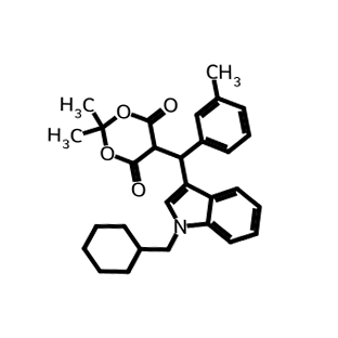 Cc1cccc(C(c2cn(CC3CCCCC3)c3ccccc23)C2C(=O)OC(C)(C)OC2=O)c1